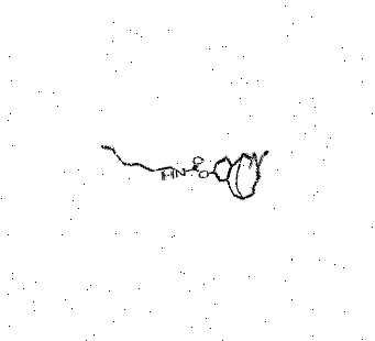 CCCCCCNC(=O)Oc1ccc2c(c1)CC1CCC2N(C)CC1